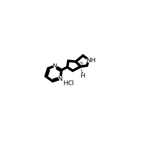 Cl.c1cnc(C2CC3CNC[C@H]3C2)nc1